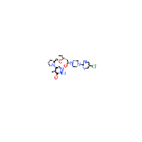 Cc1c(N2CCC[C@H]2[C@@H]2CC[C@H](CC(=O)N3CCN(c4ncc(Cl)cn4)CC3)O2)cn[nH]c1=O